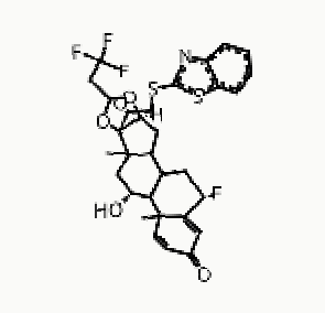 CC12C=CC(=O)C=C1[C@@H](F)CC1C2[C@@H](O)CC2(C)C1C[C@@H]1OC(CC(F)(F)F)O[C@]12C(=O)CSc1nc2ccccc2s1